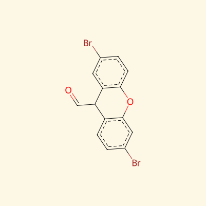 O=CC1c2ccc(Br)cc2Oc2ccc(Br)cc21